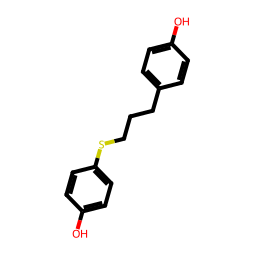 Oc1ccc(CCCSc2ccc(O)cc2)cc1